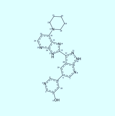 Oc1cncc(-c2cnc3[nH]nc(-c4nc5c(N6CCCCC6)ccnc5[nH]4)c3c2)c1